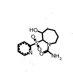 NC(=O)N1CCC[CH]C(O)C1S(=O)(=O)c1ccccn1